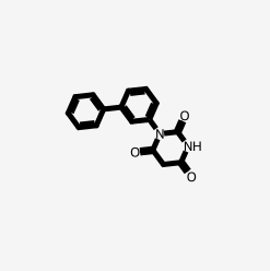 O=C1CC(=O)N(c2cccc(-c3ccccc3)c2)C(=O)N1